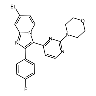 CCc1ccn2c(-c3ccnc(N4CCOCC4)n3)c(-c3ccc(F)cc3)nc2c1